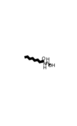 CCCCCCCC(=O)NNO